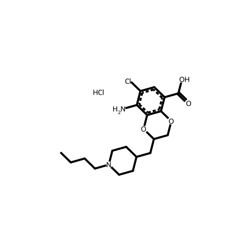 CCCCN1CCC(CC2COc3c(C(=O)O)cc(Cl)c(N)c3O2)CC1.Cl